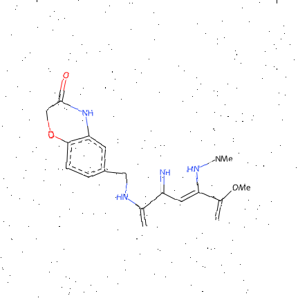 C=C(NCc1ccc2c(c1)NC(=O)CO2)C(=N)/C=C(\NNC)C(=C)OC